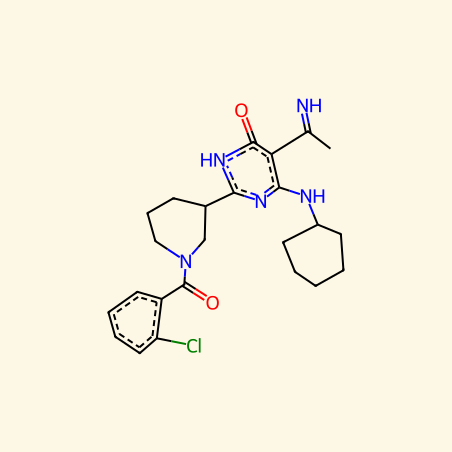 CC(=N)c1c(NC2CCCCC2)nc(C2CCCN(C(=O)c3ccccc3Cl)C2)[nH]c1=O